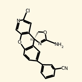 N#Cc1cccc(-c2ccc3c(c2)[C@@]2(COC(N)=N2)c2cc(Cl)ncc2O3)c1